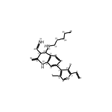 C=Cc1ncc(C)c(-c2ccc3c(c2)NC(=C)C(C=N)C3NCCCCC)c1C